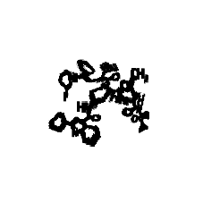 C=CC1C[C@]1(NC(=O)[C@@H]1C[C@@H](NC(=O)c2cc(-c3ccccc3)nc3ccccc23)CN1C(=O)[C@@H](CC(=O)N1CCCC(F)C1)C(C)(C)C)C(=O)NS(=O)(=O)C1CC1